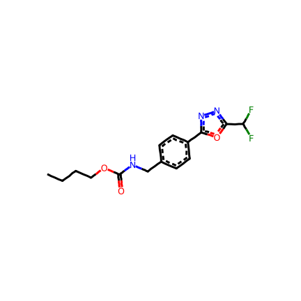 CCCCOC(=O)NCc1ccc(-c2nnc(C(F)F)o2)cc1